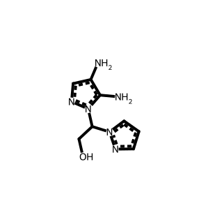 Nc1cnn(C(CO)n2cccn2)c1N